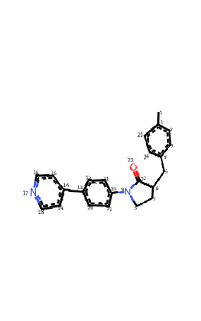 Cc1ccc(CC2CCN(c3ccc(-c4ccncc4)cc3)C2=O)cc1